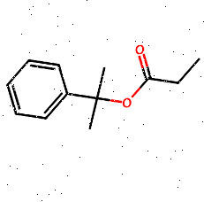 CCC(=O)OC(C)(C)c1ccccc1